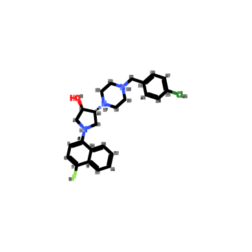 O[C@@H]1CN(c2ccc(F)c3ccccc23)C[C@H]1N1CCN(Cc2ccc(Cl)cc2)CC1